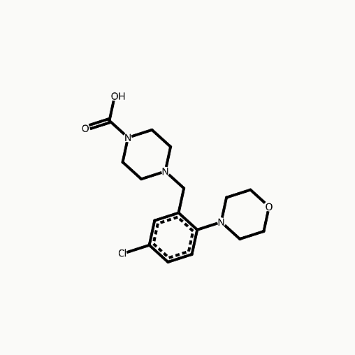 O=C(O)N1CCN(Cc2cc(Cl)ccc2N2CCOCC2)CC1